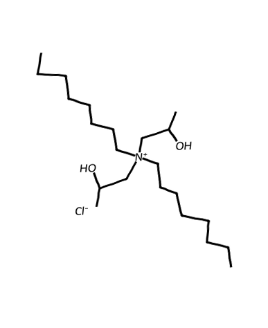 CCCCCCCC[N+](CCCCCCCC)(CC(C)O)CC(C)O.[Cl-]